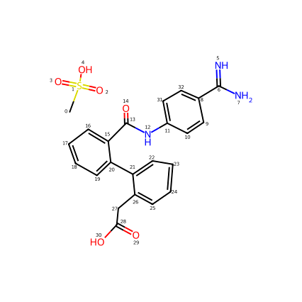 CS(=O)(=O)O.N=C(N)c1ccc(NC(=O)c2ccccc2-c2ccccc2CC(=O)O)cc1